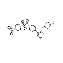 O=C(c1ccc(-c2ccccc2Cc2ccc(F)cc2)cc1)S(=O)(=O)c1ccc([N+](=O)[O-])cc1